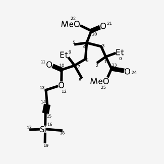 CCC(C)(CC(C)(CC(C)(CC)C(=O)OCC#C[Si](C)(C)C)C(=O)OC)C(=O)OC